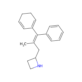 C/C(CC1CCN1)=C(\C1=CCCC=C1)c1ccccc1